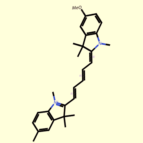 COc1ccc2c(c1)C(C)(C)\C(=C/C=C/C=C/C1=[N+](C)c3ccc(C)cc3C1(C)C)N2C